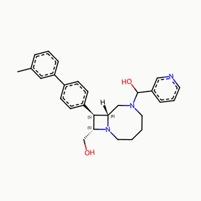 Cc1cccc(-c2ccc([C@@H]3[C@@H](CO)N4CCCCN(C(O)c5cccnc5)C[C@@H]34)cc2)c1